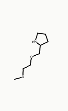 COCCOCC1CCCN1